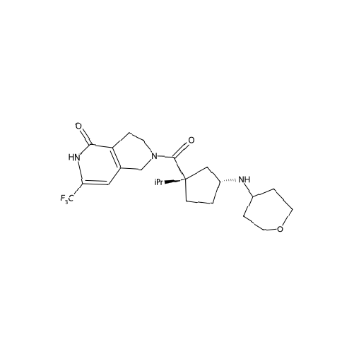 CC(C)[C@]1(C(=O)N2CCc3c(cc(C(F)(F)F)[nH]c3=O)C2)CC[C@@H](NC2CCOCC2)C1